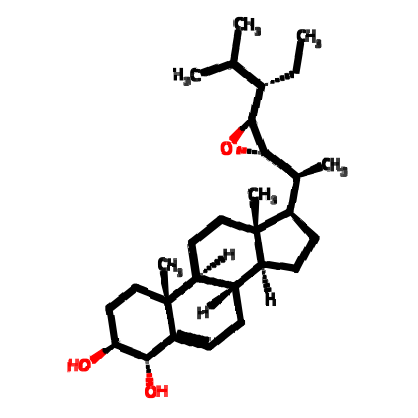 CC[C@@H](C(C)C)[C@@H]1O[C@H]1[C@@H](C)[C@H]1CC[C@H]2[C@@H]3CC=C4[C@H](O)[C@@H](O)CC[C@]4(C)[C@H]3CC[C@]12C